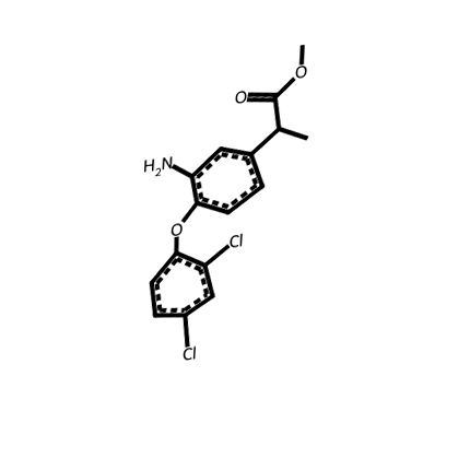 COC(=O)C(C)c1ccc(Oc2ccc(Cl)cc2Cl)c(N)c1